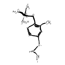 Cc1cc(OBO)ccc1C[C@](C)(N)C(=O)O